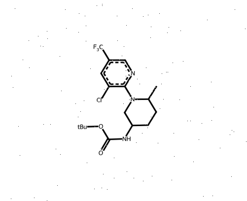 CC1CCC(NC(=O)OC(C)(C)C)CN1c1ncc(C(F)(F)F)cc1Cl